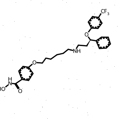 O=C(NO)c1ccc(OCCCCCCNCC[C@@H](Oc2ccc(C(F)(F)F)cc2)c2ccccc2)cc1